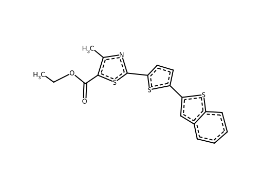 CCOC(=O)c1sc(-c2ccc(-c3cc4ccccc4s3)s2)nc1C